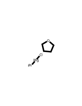 C1CCOC1.C[CH](C)[Mg][Cl]